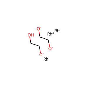 [O-]CCO.[O-]CC[O-].[Rh+3].[Rh].[Rh]